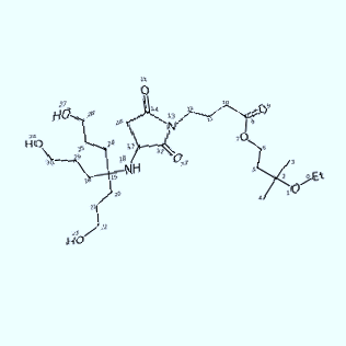 CCOC(C)(C)CCOC(=O)CCCN1C(=O)CC(NC(CCCO)(CCCO)CCCO)C1=O